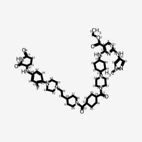 CCOC(=O)c1cnc(Nc2cnn(C)c2)nc1NC1CCC(N2CCN(C(=O)C3CCC(C(=O)N4CCC(CCN5CCN(c6ccc(NC7CCC(=O)NC7=O)cc6F)CC5)CC4)CC3)CC2)CC1